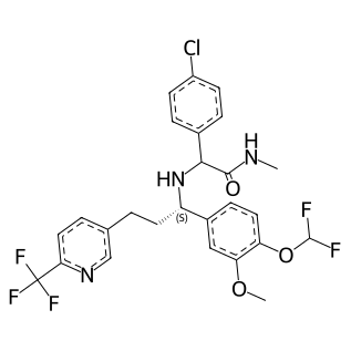 CNC(=O)C(N[C@@H](CCc1ccc(C(F)(F)F)nc1)c1ccc(OC(F)F)c(OC)c1)c1ccc(Cl)cc1